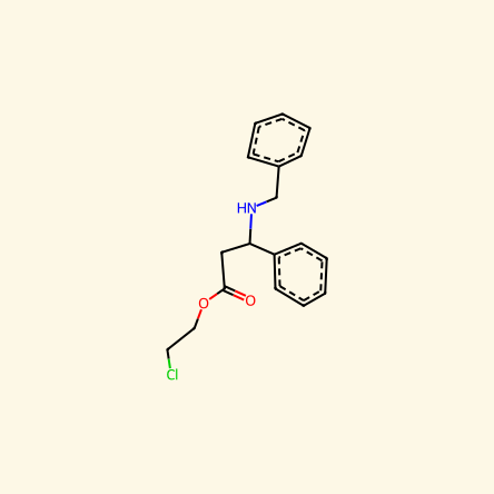 O=C(CC(NCc1ccccc1)c1ccccc1)OCCCl